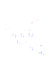 Cc1nc(NCc2cccs2)nc(N[C@@H]2CC[C@@H](O)C2)c1-c1nc2cnccc2s1